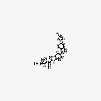 Cn1cc(-c2ccc3c(c2)ncn3-c2ccc(CC(=O)Nc3cc(C(C)(C)C)no3)nn2)cn1